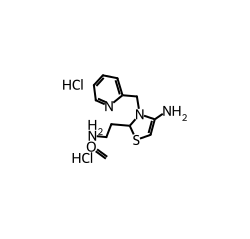 C=O.Cl.Cl.NCCC1SC=C(N)N1Cc1ccccn1